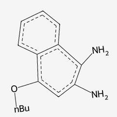 CCCCOc1cc(N)c(N)c2ccccc12